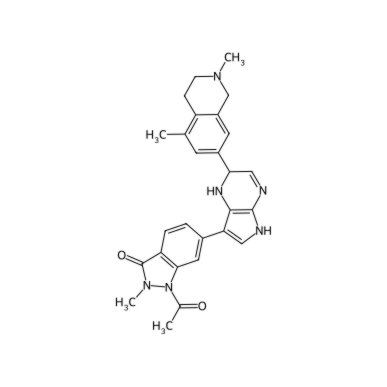 CC(=O)n1c2cc(-c3c[nH]c4c3NC(c3cc(C)c5c(c3)CN(C)CC5)C=N4)ccc2c(=O)n1C